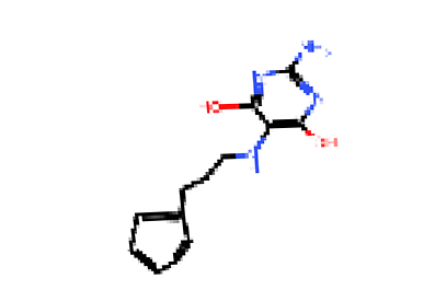 Nc1nc(O)c(NCCCc2ccccc2)c(O)n1